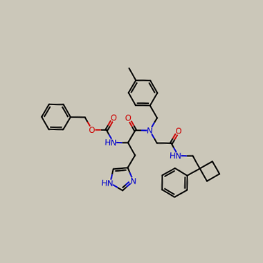 Cc1ccc(CN(CC(=O)NCC2(c3ccccc3)CCC2)C(=O)C(Cc2c[nH]cn2)NC(=O)OCc2ccccc2)cc1